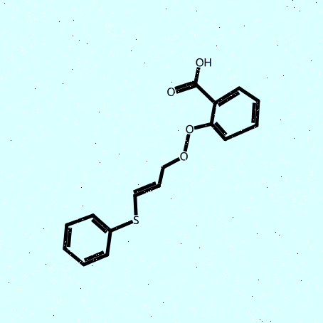 O=C(O)c1ccccc1OOCC=CSc1ccccc1